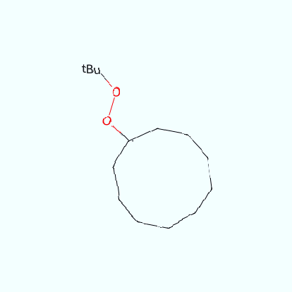 CC(C)(C)OO[C]1CCCCCCCCC1